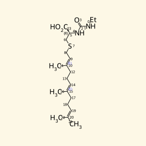 CCNC(=O)N[C@@H](CSC/C=C(\C)CC/C=C(\C)CCC=C(C)C)C(=O)O